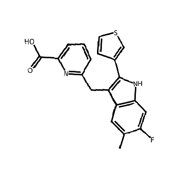 Cc1cc2c(Cc3cccc(C(=O)O)n3)c(-c3ccsc3)[nH]c2cc1F